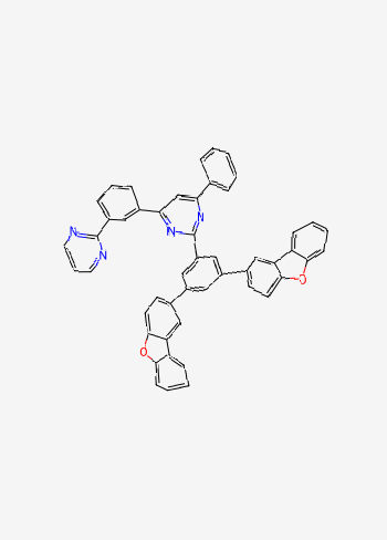 c1ccc(-c2cc(-c3cccc(-c4ncccn4)c3)nc(-c3cc(-c4ccc5oc6ccccc6c5c4)cc(-c4ccc5oc6ccccc6c5c4)c3)n2)cc1